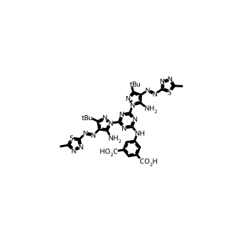 Cc1nnc(N=Nc2c(C(C)(C)C)nn(-c3nc(Nc4cc(C(=O)O)cc(C(=O)O)c4)nc(-n4nc(C(C)(C)C)c(N=Nc5nnc(C)s5)c4N)n3)c2N)s1